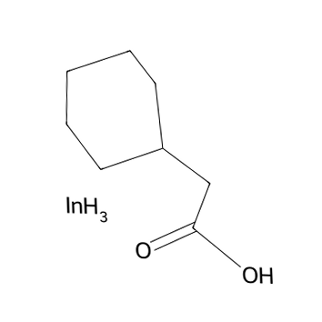 O=C(O)CC1CCCCC1.[InH3]